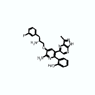 Cc1n[nH]c2ncc(-c3cc(OC[C@H](N)Cc4cccc(F)c4)c(N)nc3-c3ccccc3O)nc12